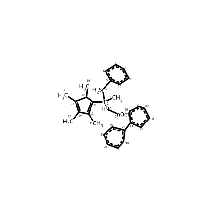 CCCCCCCC[NH][Ti]([CH3])([SiH2]c1ccccc1)[C]1=C(C)C(C)=C(C)C1C.c1ccc(-c2ccccc2)cc1